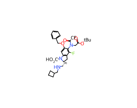 CC(C)(C)OC(=O)CN(C(=O)C(F)(F)F)c1c(OCc2ccccc2)cc2c(c1F)C[C@H](CNCC1CCC1)N2C(=O)O